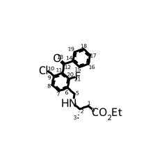 CCOC(=O)C[C@H](C)NCc1ccc(Cl)c(C(=O)c2ccccc2)c1F